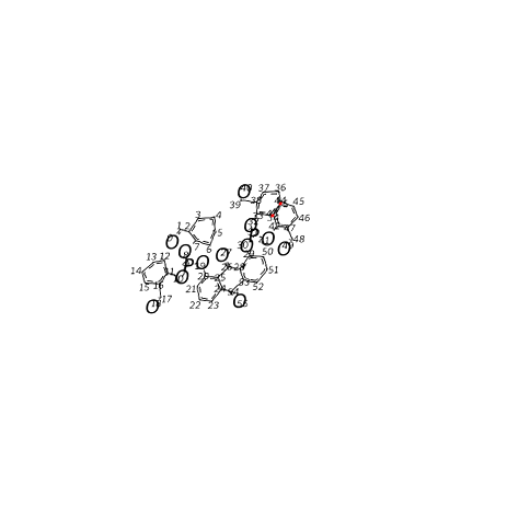 O=Cc1ccccc1OP(Oc1ccccc1C=O)Oc1cccc2c1C(=O)c1c(OP(Oc3ccccc3C=O)Oc3ccccc3C=O)cccc1C2=O